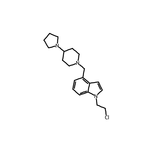 ClCCn1ccc2c(CN3CCC(N4CCCC4)CC3)cccc21